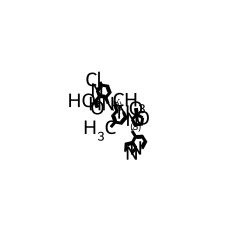 Cc1cc([C@@H](C)Nc2ccc(Cl)nc2C(=O)O)nc(N2C(=O)OC[C@@H]2Cc2cccn3nccc23)c1